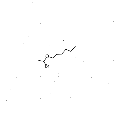 CCCCCCOC(C)Br